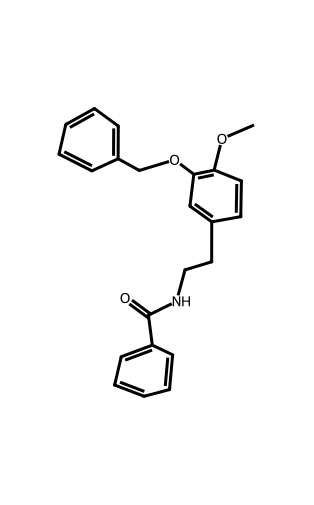 COc1ccc(CCNC(=O)c2ccccc2)cc1OCc1ccccc1